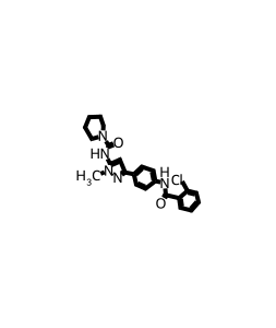 Cn1nc(-c2ccc(NC(=O)c3ccccc3Cl)cc2)cc1NC(=O)N1CCCCC1